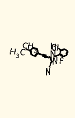 CC(C)c1ccc(C#Cc2[nH]c(-c3c(F)cccc3Cl)nc2C#N)cc1